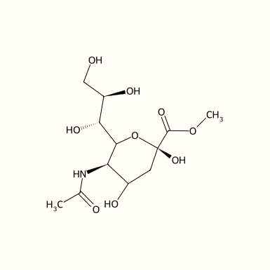 COC(=O)[C@]1(O)CC(O)[C@@H](NC(C)=O)C([C@H](O)[C@H](O)CO)O1